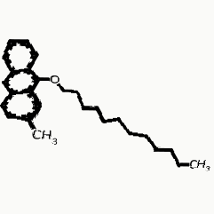 CCCCCCCCCCCCOc1c2ccccc2cc2ccc(C)cc12